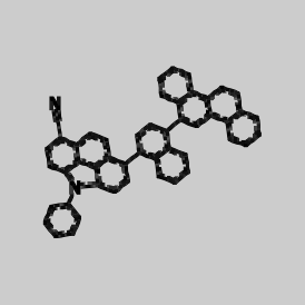 N#Cc1ccc2c3c1ccc1c(-c4ccc(-c5cc6c7ccccc7ccc6c6ccccc56)c5ccccc45)ccc(c13)n2-c1ccccc1